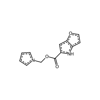 O=C(OCn1cccc1)c1cc2occc2[nH]1